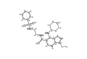 CCn1ncc2c(NC3CCOCC3)c(C(=O)NCCNS(=O)(=O)c3ccccc3)cnc21